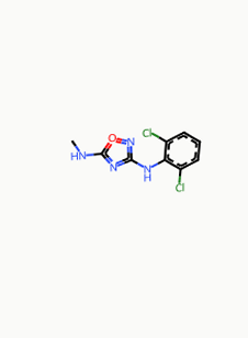 CNc1nc(Nc2c(Cl)cccc2Cl)no1